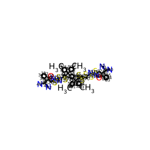 Cc1ccc(C2(c3ccc(C)cc3)c3cc4c(cc3-c3sc(-c5nc6sc(/C=C7\C(=O)c8ccccc8C7=C(C#N)C#N)nc6s5)cc32)C(c2ccc(C)cc2)(c2ccc(C)cc2)c2c-4sc3c2sc2cc(-c4nc5sc(/C=C6\C(=O)c7ccccc7C6=C(C#N)C#N)nc5s4)sc23)cc1